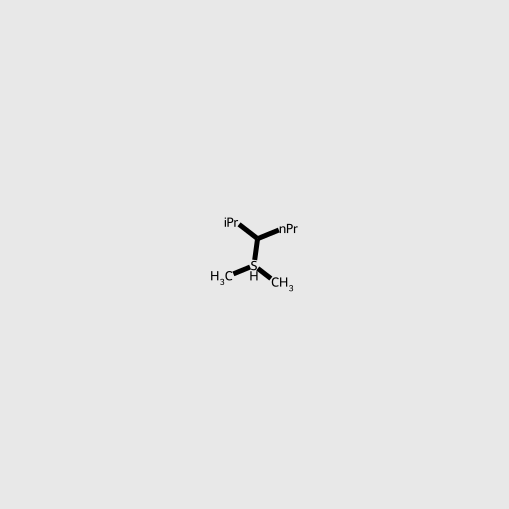 CCCC(C(C)C)[SH](C)C